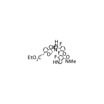 CCOC(=O)CCc1cccc2c1OCC[C@@]2(C)c1c[nH]c(-c2cc(Oc3c(F)c(F)c4[nH]ccc4c3C(=O)NC)ccc2F)n1